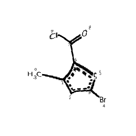 Cc1cc(Br)sc1C(=O)Cl